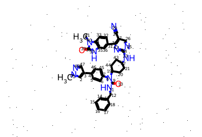 Cn1cc(-c2ccc(N(C(=O)NCc3ccccc3)C3CCC(Nc4ncc(C#N)c(-c5ccc6c(c5)[nH]c(=O)n6C)n4)CC3)cc2)cn1